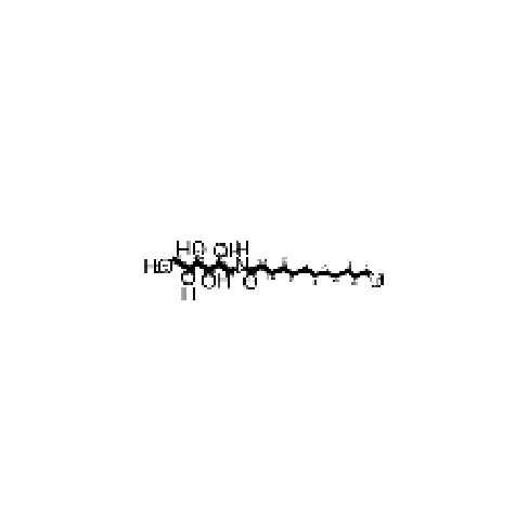 O=CCCCCCCCCCCC(=O)NC[C@H](O)[C@@H](O)[C@H](O)[C@H](O)CO